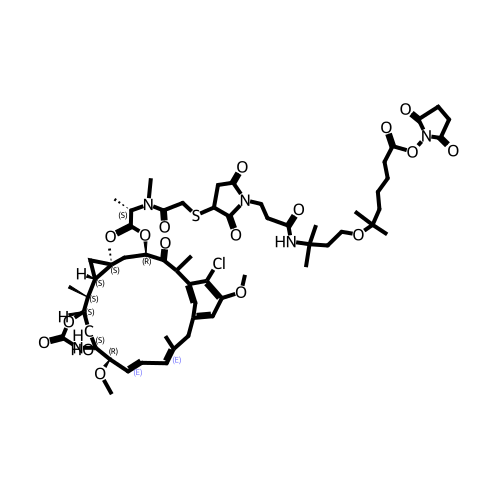 COc1cc2cc(c1Cl)C(C)C(=O)[C@H](OC(=O)[C@H](C)N(C)C(=O)CSC1CC(=O)N(CCC(=O)NC(C)(C)CCOC(C)(C)CCCCC(=O)ON3C(=O)CCC3=O)C1=O)C[C@]1(C)C[C@H]1[C@H](C)[C@@H]1C[C@@](O)(NC(=O)O1)[C@H](OC)/C=C/C=C(\C)C2